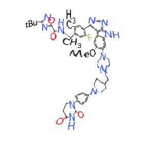 COc1cc2c(cc1N1CCN(CC3CCN(c4ccc(N5CCC(=O)NC5=O)cc4)CC3)CC1)[nH]c1ncnc(-c3cc(C)c([C@@H](C)NC(=O)c4nc(C(C)(C)C)no4)cc3F)c12